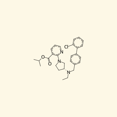 CCN(Cc1ccc(-c2ccccc2Cl)cc1)[C@@H]1CCN(c2ncccc2C(=O)OC(C)C)C1